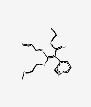 C=CCSC(SCCOC)=C(C(=O)OCC)c1cccnc1